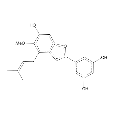 COc1c(O)cc2oc(-c3cc(O)cc(O)c3)cc2c1CC=C(C)C